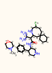 CN1CCOC[C@@H]1c1ccc(C2CCNCC2NC(=O)C(C(N)N)C2CC3(CCCCC3)CCC(F)CN2)cc1